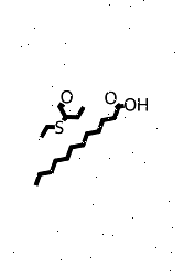 CCCCCCCCCCCC(=O)O.CCSC(C=O)CC